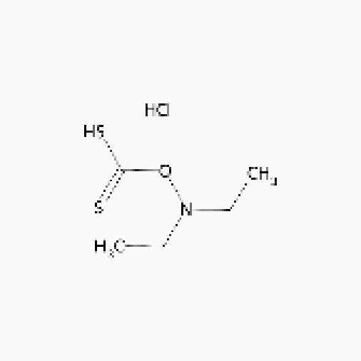 CCN(CC)OC(=S)S.Cl